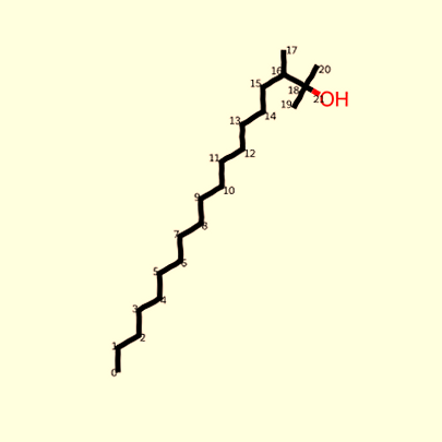 CCCCCCCCCCCCCCCCC(C)C(C)(C)O